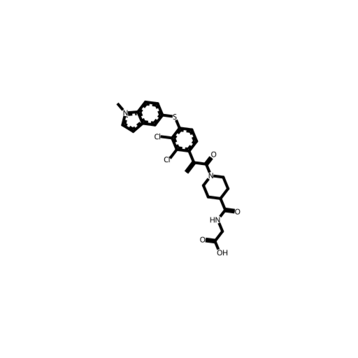 C=C(C(=O)N1CCC(C(=O)NCC(=O)O)CC1)c1ccc(Sc2ccc3c(ccn3C)c2)c(Cl)c1Cl